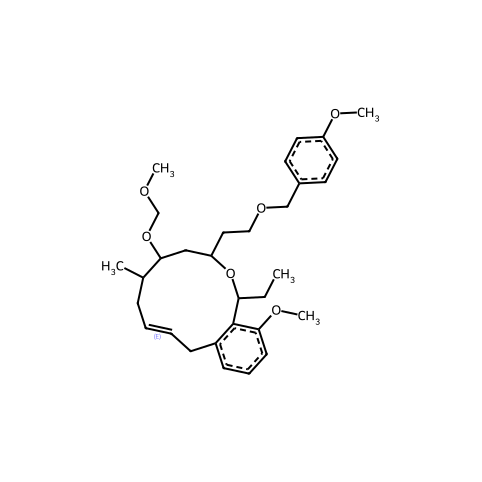 CCC1OC(CCOCc2ccc(OC)cc2)CC(OCOC)C(C)C/C=C/Cc2cccc(OC)c21